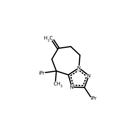 C=C1CCn2nc(C(C)C)nc2C(C)(C(C)C)C1